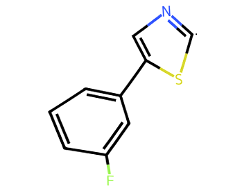 Fc1cccc(-c2cn[c]s2)c1